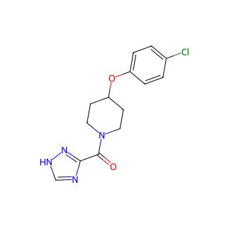 O=C(c1nc[nH]n1)N1CCC(Oc2ccc(Cl)cc2)CC1